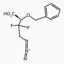 [N-]=[N+]=NCC(F)(F)[C@H](OCc1ccccc1)C(=O)O